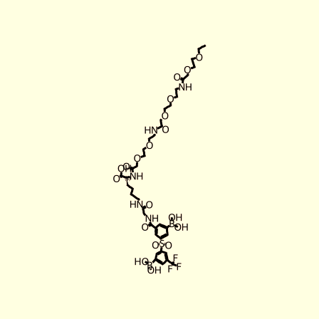 CCOCCOCC(=O)NCCOCCOCC(=O)NCCOCCOCC(=O)N[C@@H](CCCCNC(=O)CNC(=O)c1cc(B(O)O)cc(S(=O)(=O)c2cc(B(O)O)cc(C(F)(F)F)c2)c1)C(=O)O